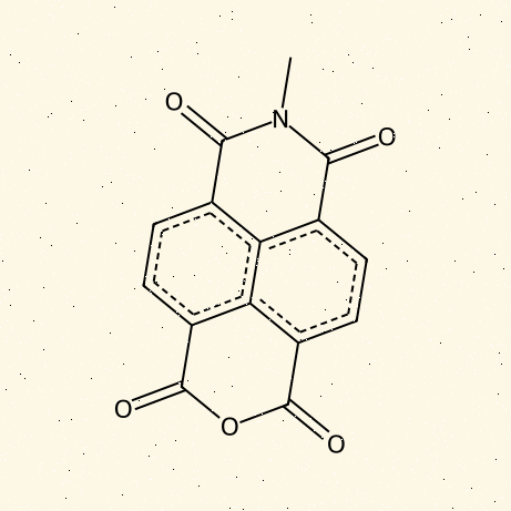 CN1C(=O)c2ccc3c4c(ccc(c24)C1=O)C(=O)OC3=O